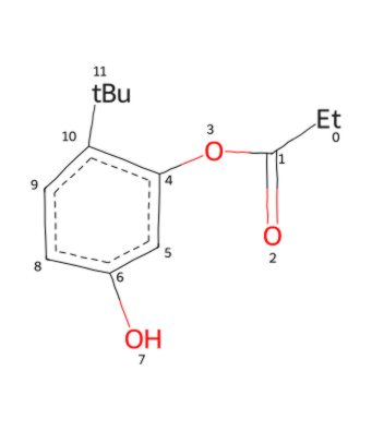 CCC(=O)Oc1cc(O)ccc1C(C)(C)C